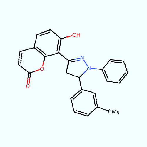 COc1cccc(C2CC(c3c(O)ccc4ccc(=O)oc34)=NN2c2ccccc2)c1